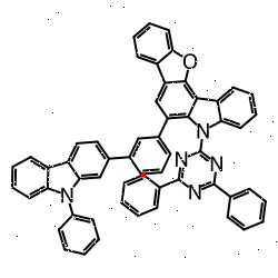 c1ccc(-c2nc(-c3ccccc3)nc(-n3c4ccccc4c4c5oc6ccccc6c5cc(-c5cccc(-c6ccc7c8ccccc8n(-c8ccccc8)c7c6)c5)c43)n2)cc1